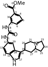 COC(=O)c1cccc(NC(=O)Nc2ccc3[nH]cc(C4CCN5CCCC5C4)c3c2)c1